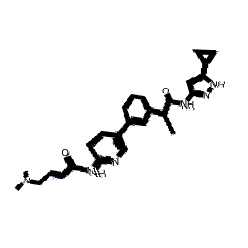 CC(C(=O)Nc1cc(C2CC2)[nH]n1)c1cccc(-c2ccc(NC(=O)/C=C/CN(C)C)nc2)c1